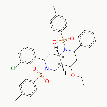 CCOC1CC(c2ccccc2)N(S(=O)(=O)c2ccc(C)cc2)[C@H]2CC(c3cccc(Cl)c3)N(S(=O)(=O)c3ccc(C)cc3)C[C@@H]12